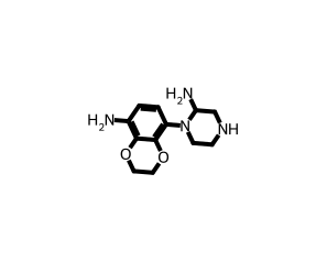 Nc1ccc(N2CCNCC2N)c2c1OCCO2